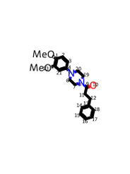 COc1ccc(N2CCN(C(=O)CCc3ccccc3)CC2)cc1OC